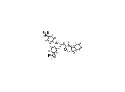 Cc1sc2cnccc2c1NC(=O)/C=C/C=C(c1ccc(C(F)(F)F)cc1)c1ccc(C(F)(F)F)cc1